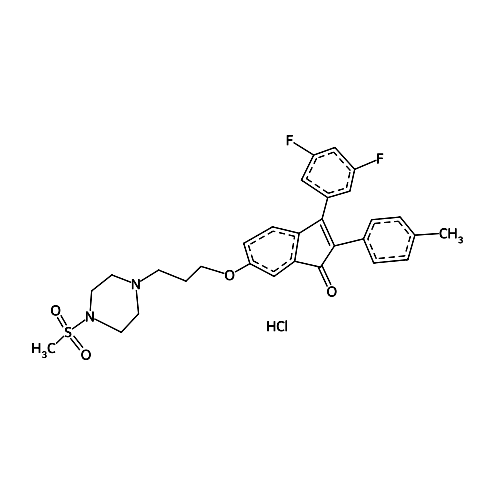 Cc1ccc(C2=C(c3cc(F)cc(F)c3)c3ccc(OCCCN4CCN(S(C)(=O)=O)CC4)cc3C2=O)cc1.Cl